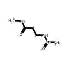 CNC(=O)CCN[N+](C)=O